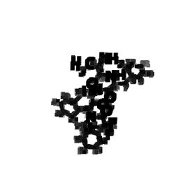 C[C@H](N)C(=O)N[C@@H](Cc1ccccc1)C(=O)N[C@@H](Cc1ccccc1)C(=O)CN(Cc1ccccc1)C(=O)C(F)(F)F